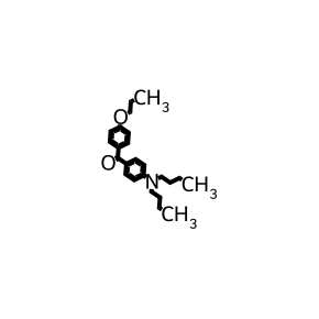 CCCCN(CCCC)c1ccc(C(=O)c2ccc(OCCC)cc2)cc1